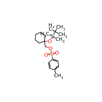 Cc1ccc(S(=O)(=O)OCC2(O[Si](C)(C)C(C)(C)C)CCCCC2)cc1